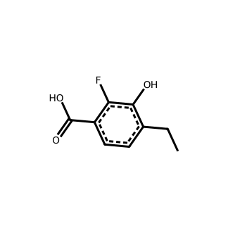 CCc1ccc(C(=O)O)c(F)c1O